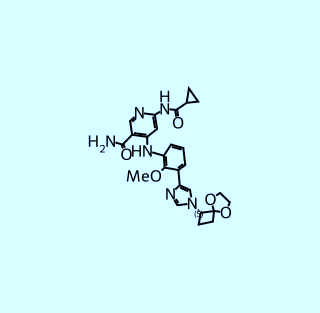 COc1c(Nc2cc(NC(=O)C3CC3)ncc2C(N)=O)cccc1-c1cn([C@H]2CCC23OCCO3)cn1